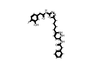 O=C(Cc1ccc(F)c(O)c1)Nc1nnc(CCCCC2=CCC(NC(=O)Cc3ccccc3)NN2)s1